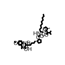 CCCCCCCCCC(NC(=O)OC1CCC[C@H]1CCCCC(F)(F)C1Nc2ccc(OC)cc2N(C)C1O)C(=O)N1CC[C@@H](C)C1C(=O)C(C)C